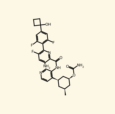 C[C@@H]1C[C@H](OC(N)=O)C[C@H](c2ccncc2NC(=O)c2nc(-c3c(F)cc(C4(O)CCC4)cc3F)c(F)cc2N)C1